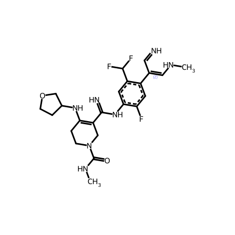 CN/C=C(\C=N)c1cc(F)c(NC(=N)C2=C(NC3CCOC3)CCN(C(=O)NC)C2)cc1C(F)F